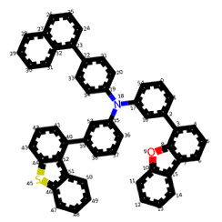 c1cc(-c2cccc3c2oc2ccccc23)cc(N(c2ccc(-c3cccc4ccccc34)cc2)c2cccc(-c3cccc4sc5ccccc5c34)c2)c1